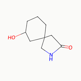 O=C1CC2(CCCC(O)C2)CN1